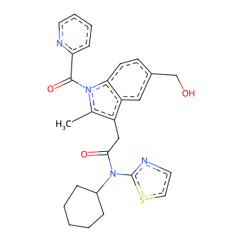 Cc1c(CC(=O)N(c2nccs2)C2CCCCC2)c2cc(CO)ccc2n1C(=O)c1ccccn1